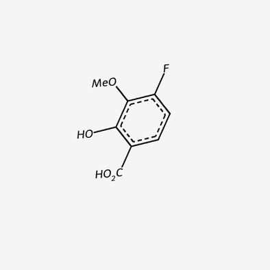 COc1c(F)ccc(C(=O)O)c1O